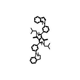 C=c1c2c(-c3cccc(-n4ccc5ccccc54)c3)n(CC(C)C)c(=C)c2c(-c2cccc(N3CCc4ccccc43)c2)n1CC(C)C